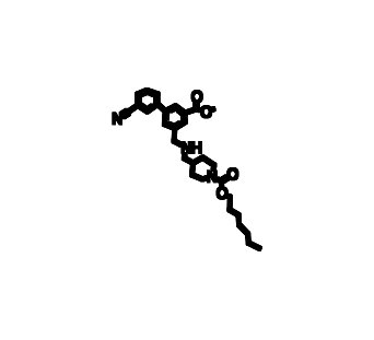 CCCCCCCOC(=O)N1CCC(CNCc2cc(C(=O)OC)cc(-c3cccc(C#N)c3)c2)CC1